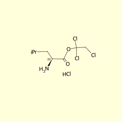 CC(C)C[C@H](N)C(=O)OC(Cl)(Cl)CCl.Cl